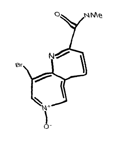 CNC(=O)c1ccc2c[n+]([O-])cc(Br)c2n1